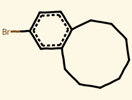 Brc1ccc2c(c1)CCCCCCCC2